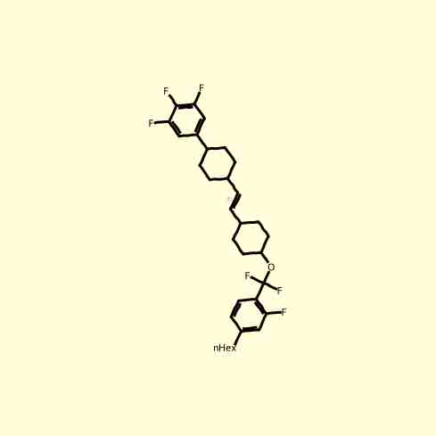 CCCCCCc1ccc(C(F)(F)OC2CCC(/C=C/C3CCC(c4cc(F)c(F)c(F)c4)CC3)CC2)c(F)c1